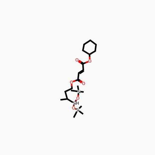 CC(CCOC(=O)C=CC(=O)OC1CCCCC1)[SiH](O[Si](C)(C)C)O[Si](C)(C)C